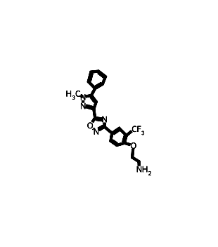 Cn1nc(-c2nc(-c3ccc(OCCN)c(C(F)(F)F)c3)no2)cc1-c1ccccc1